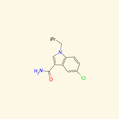 CC(C)Cn1cc(C(N)=O)c2cc(Cl)ccc21